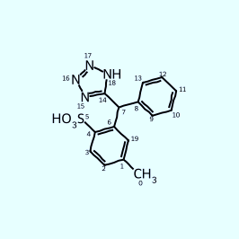 Cc1ccc(S(=O)(=O)O)c(C(c2ccccc2)c2nnn[nH]2)c1